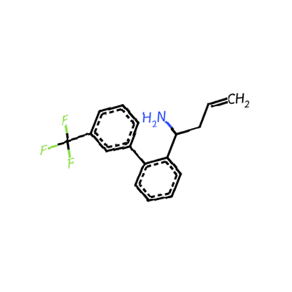 C=CCC(N)c1ccccc1-c1cccc(C(F)(F)F)c1